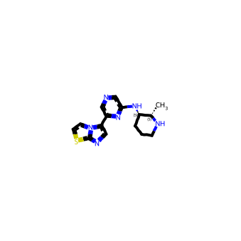 C[C@@H]1NCCC[C@@H]1Nc1cncc(-c2cnc3sccn23)n1